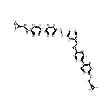 c1cc(COc2ccc(-c3ccc(OCC4CO4)cc3)cc2)cc(COc2ccc(-c3ccc(OCC4CO4)cc3)cc2)c1